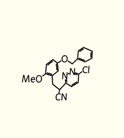 COc1ccc(OCc2ccccc2)cc1CC(C#N)c1ccc(Cl)nn1